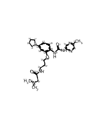 Cc1cnc(NC(=O)Nc2ccc(N3CCCC3)cc2OCCCNC(=O)CN(C)C)cn1